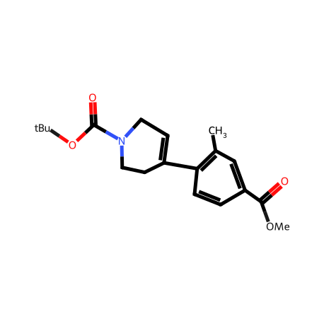 COC(=O)c1ccc(C2=CCN(C(=O)OC(C)(C)C)CC2)c(C)c1